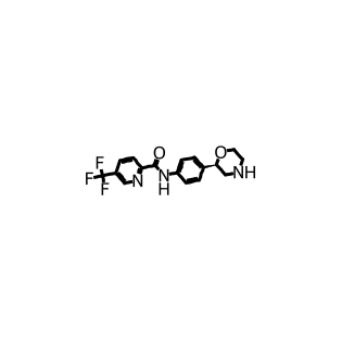 O=C(Nc1ccc([C@@H]2CNCCO2)cc1)c1ccc(C(F)(F)F)cn1